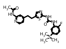 CC(=O)Nc1cc(CCc2cnc(NC(=O)Nc3cc(S(C)(C)C)ccc3F)s2)ccn1